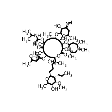 CCC[C@@H]1[C@H](OC)[C@H](O)[C@@H](C)O[C@H]1CCC[C@H](C)[C@H]1OC(=O)[C@H](C)[C@@H](OC2C[C@H](C)N(C)C[C@H](C)O2)[C@H](C)[C@@H](O[C@@H]2O[C@H](C)C/C(=N\I)[C@H]2O)[C@@H](C)C[C@](C)(OC(=O)NC(C)C)C(=O)[C@H](C)[C@H](OC(=O)CC(C)C)[C@H]1C